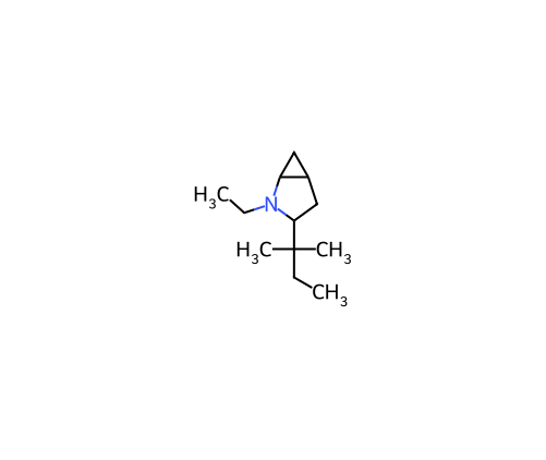 CCN1C2CC2CC1C(C)(C)CC